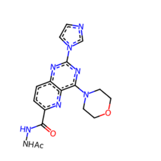 CC(=O)NNC(=O)c1ccc2nc(-n3ccnc3)nc(N3CCOCC3)c2n1